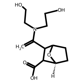 C=C(C1C2CC[C@H](O2)C1C(=O)O)N(CCO)CCO